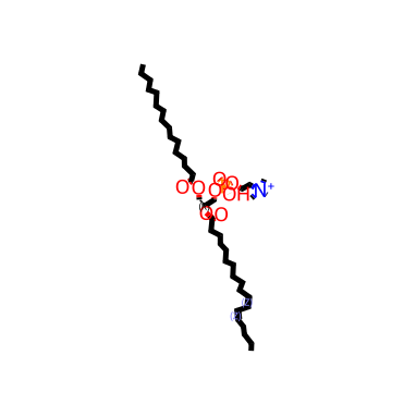 CCCC/C=C\C=C/CCCCCCCCCC(=O)O[C@H](COC(=O)CCCCCCCCCCCCCCC)COP(=O)(O)OCC[N+](C)(C)C